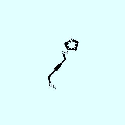 CCC#CCO.c1ccsc1